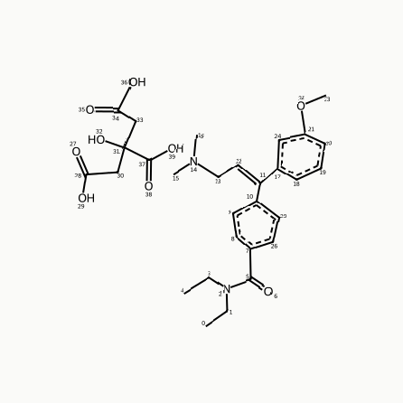 CCN(CC)C(=O)c1ccc(/C(=C\CN(C)C)c2cccc(OC)c2)cc1.O=C(O)CC(O)(CC(=O)O)C(=O)O